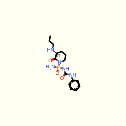 CCCN[C@H]1CCCN(P(N)(=O)NC(=O)Nc2ccccc2)C1=O